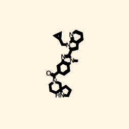 Cn1c(-c2cc3cccnc3n2CC2CC2)nc2cc(C(=O)N3CCCC4(CCCN4)C3)ccc21